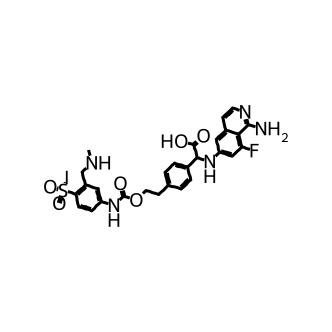 CNCc1cc(NC(=O)OCCc2ccc(C(Nc3cc(F)c4c(N)nccc4c3)C(=O)O)cc2)ccc1S(=O)(=O)I